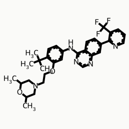 CC1CN(CCOc2cc(Nc3ncnc4cc(-c5ncccc5C(F)(F)F)ccc34)ccc2C(C)(C)C)CC(C)O1